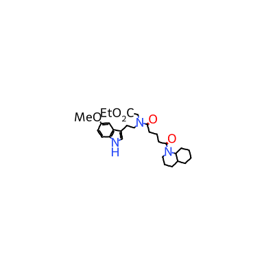 CCOC(=O)CN(CCc1c[nH]c2ccc(OC)cc12)C(=O)CCCC(=O)N1CCCC2CCCCC21